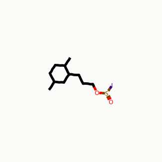 CC1CCC(C)C(CCCOS(=O)I)C1